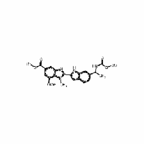 COc1cc(C(=O)OC(C)C)cc2nc(-c3cc4ccc(C(C)NC(=O)OC(C)(C)C)cc4[nH]3)n(C)c12